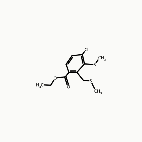 CCOC(=O)c1ccc(Cl)c(SC)c1CSC